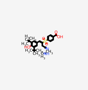 CC(C)(C)c1cc(/C=C(\CC#N)S(=O)(=O)c2ccc(C(=O)O)cc2)cc(C(C)(C)C)c1O.CNC